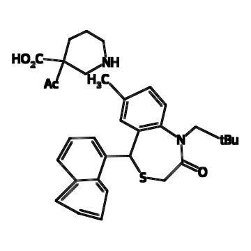 CC(=O)C1(C(=O)O)CCCNC1.Cc1ccc2c(c1)C(c1cccc3ccccc13)SCC(=O)N2CC(C)(C)C